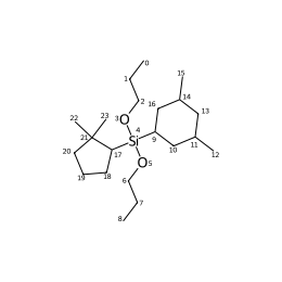 CCCO[Si](OCCC)(C1CC(C)CC(C)C1)C1CCCC1(C)C